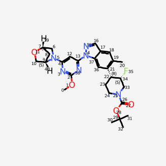 COc1nc(N2C[C@@H]3C[C@H]2CO3)cc(-n2ncc3cc(C)c([C@H]4CCN(C(=O)OC(C)(C)C)C[C@H]4F)cc32)n1